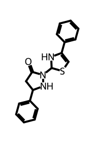 O=C1CC(c2ccccc2)NN1C1NC(c2ccccc2)=CS1